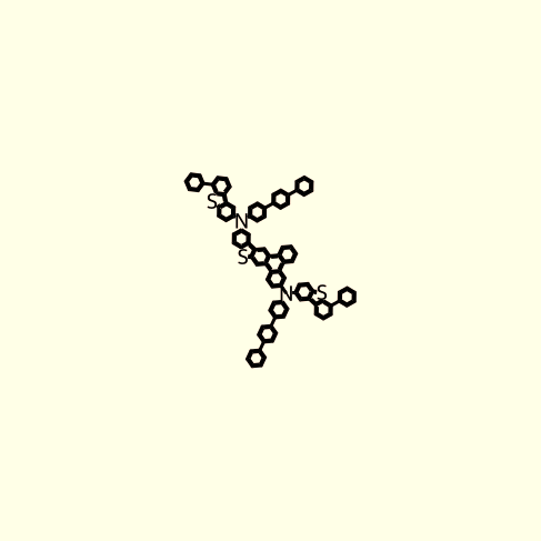 c1ccc(-c2ccc(-c3ccc(N(c4ccc5sc6cc7c8ccc(N(c9ccc(-c%10ccc(-c%11ccccc%11)cc%10)cc9)c9ccc%10sc%11c(-c%12ccccc%12)cccc%11c%10c9)cc8c8ccccc8c7cc6c5c4)c4ccc5sc6c(-c7ccccc7)cccc6c5c4)cc3)cc2)cc1